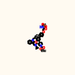 COCCCn1cc(CN(C(=O)[C@H]2CN(C(=O)OC(C)(C)C)CC[C@@H]2c2cccc(-c3ccc(OCC(=O)NS(C)(=O)=O)cc3)c2)C2CC2)c2ccccc21